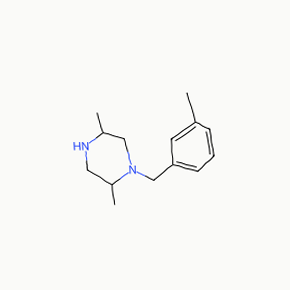 Cc1cccc(CN2CC(C)NCC2C)c1